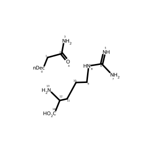 CCCCCCCCCCCC(N)=O.N=C(N)NCCCC(N)C(=O)O